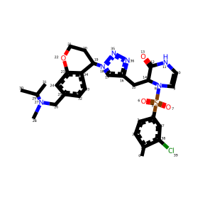 Cc1ccc(S(=O)(=O)N2C=CNC(=O)C2Cc2cn(C3CCOc4cc(CN(C)C(C)C)ccc43)nn2)cc1Cl